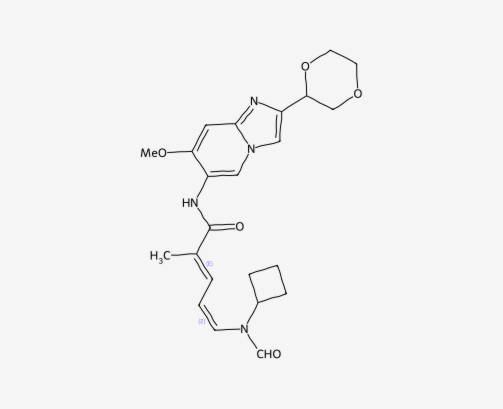 COc1cc2nc(C3COCCO3)cn2cc1NC(=O)/C(C)=C/C=C\N(C=O)C1CCC1